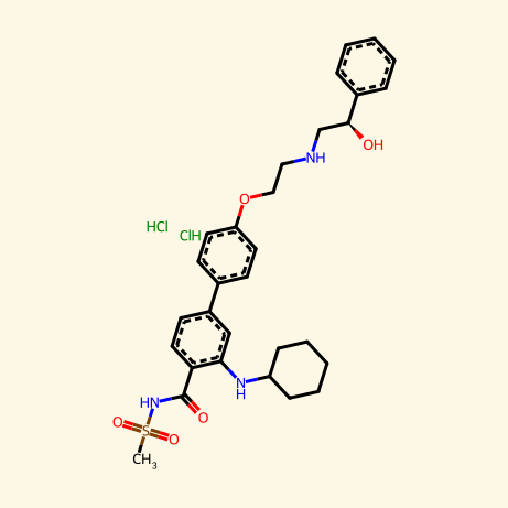 CS(=O)(=O)NC(=O)c1ccc(-c2ccc(OCCNC[C@H](O)c3ccccc3)cc2)cc1NC1CCCCC1.Cl.Cl